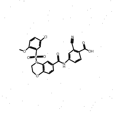 COc1ccc(Cl)cc1S(=O)(=O)N1CCOc2ccc(C(=O)Nc3ccc(C(=O)O)c(C#N)c3)cc21